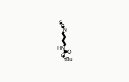 CC(C)(C)OC(=O)NCCCCN=C=S